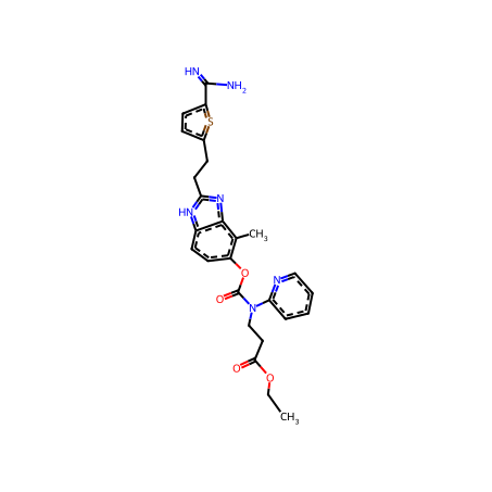 CCOC(=O)CCN(C(=O)Oc1ccc2[nH]c(CCc3ccc(C(=N)N)s3)nc2c1C)c1ccccn1